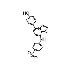 CS(=O)(=O)c1ccc(Nc2ccc(-c3ccc(O)nc3)n3ccnc23)cc1